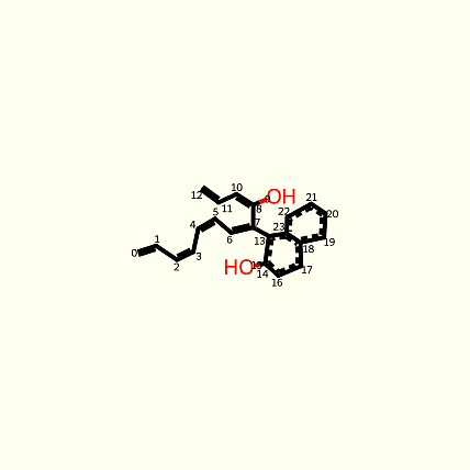 C=C\C=C/C=C\C=C(/C(O)=C\C=C)c1c(O)ccc2ccccc12